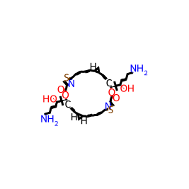 CC(C)([C@@H]1C/C=C\C2C[C@@H]2/C=C/C=C\c2nc(cs2)C(=O)O[C@H](C(C)(C)[C@@H](O)/C=C/CCN)C/C=C\[C@H]2C[C@H]2/C=C/C=C\c2nc(cs2)C(=O)O1)[C@@H](O)/C=C/CCN